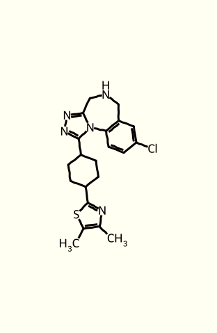 Cc1nc(C2CCC(c3nnc4n3-c3ccc(Cl)cc3CNC4)CC2)sc1C